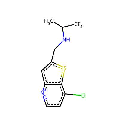 CC(NCc1cc2nccc(Cl)c2s1)C(F)(F)F